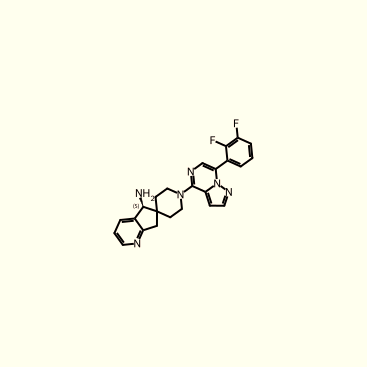 N[C@@H]1c2cccnc2CC12CCN(c1ncc(-c3cccc(F)c3F)n3nccc13)CC2